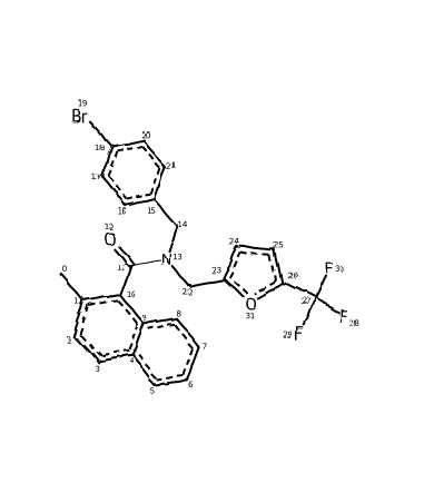 Cc1ccc2ccccc2c1C(=O)N(Cc1ccc(Br)cc1)Cc1ccc(C(F)(F)F)o1